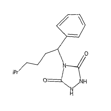 CC(C)CCCC(c1ccccc1)n1c(=O)[nH][nH]c1=O